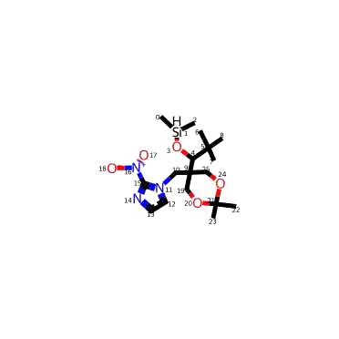 C[SiH](C)OC(C(C)(C)C)C1(Cn2ccnc2[N+](=O)[O-])COC(C)(C)OC1